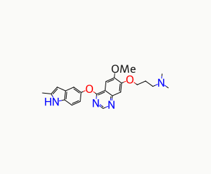 COc1cc2c(Oc3ccc4[nH]c(C)cc4c3)ncnc2cc1OCCCN(C)C